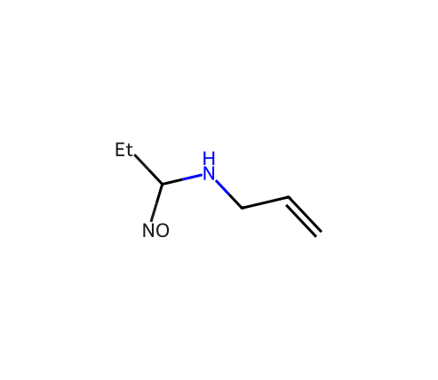 C=CCNC(CC)N=O